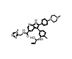 C=CC(O)Nc1cc(-c2c(-c3ccc(N4CCN(C)CC4)cc3)[nH]c3ncc(C(=O)NCc4nncn4C)cc23)ccc1C